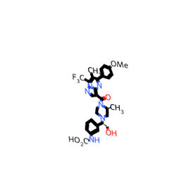 COc1ccc(-c2nc3c(C(=O)N4CCN([C@H](CO)c5cccc(NC(=O)O)c5)C[C@H]4C)cnn3c(C(F)(F)F)c2C)cc1